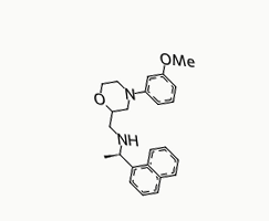 COc1cccc(N2CCOC(CN[C@H](C)c3cccc4ccccc34)C2)c1